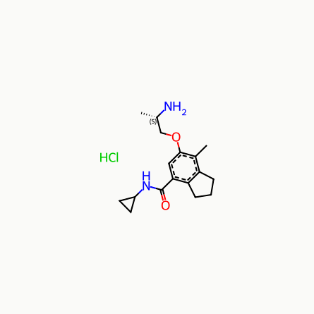 Cc1c(OC[C@H](C)N)cc(C(=O)NC2CC2)c2c1CCC2.Cl